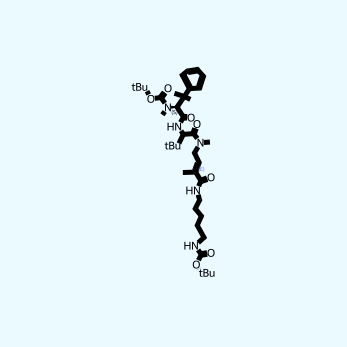 C/C(=C\CN(C)C(=O)C(NC(=O)[C@@H](N(C)C(=O)OC(C)(C)C)C(C)(C)c1ccccc1)C(C)(C)C)C(=O)NCCCCCNC(=O)OC(C)(C)C